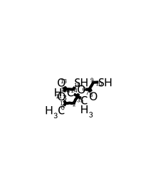 CC(CC(C)(C)OC(=O)CS)OC(=O)CS